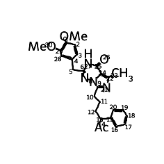 COc1ccc(Cc2nn3c(CCCC(C(C)=O)c4ccccc4)nc(C)c3c(=O)[nH]2)cc1OC